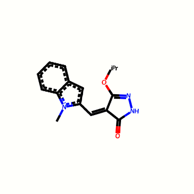 CC(C)OC1=NNC(=O)/C1=C/c1cc2ccccc2n1C